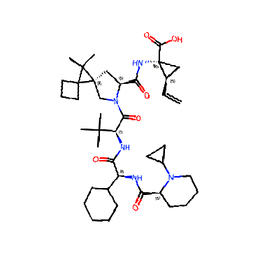 C=C[C@@H]1C[C@]1(NC(=O)[C@@H]1C[C@@]2(CN1C(=O)[C@@H](NC(=O)[C@@H](NC(=O)[C@@H]1CCCCN1C1CC1)C1CCCCC1)C(C)(C)C)C(C)(C)C21CCC1)C(=O)O